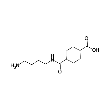 NCCCCNC(=O)C1CCC(C(=O)O)CC1